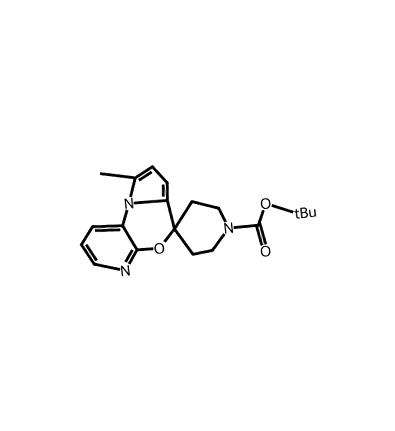 Cc1ccc2n1-c1cccnc1OC21CCN(C(=O)OC(C)(C)C)CC1